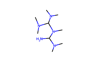 CN(C)C(N)N(C)C(N(C)C)N(C)C